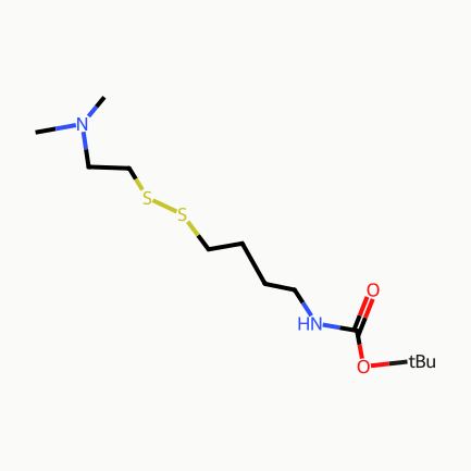 CN(C)CCSSCCCCNC(=O)OC(C)(C)C